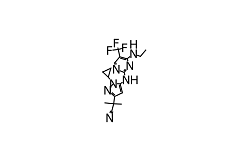 CCNc1nc(Nc2cc(C(C)(C)C#N)nn2C2CC2)ncc1C(F)(F)F